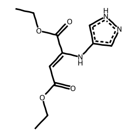 CCOC(=O)/C=C(\Nc1cn[nH]c1)C(=O)OCC